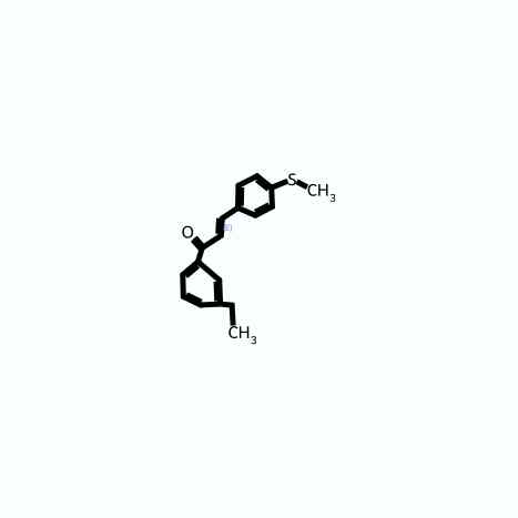 CCc1cccc(C(=O)/C=C/c2ccc(SC)cc2)c1